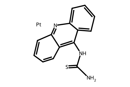 NC(=S)Nc1c2ccccc2nc2ccccc12.[Pt]